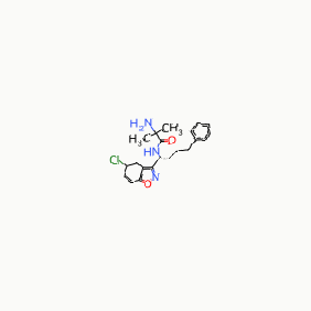 CC(C)(N)C(=O)N[C@H](CCCc1ccccc1)c1noc2c1CC(Cl)C=C2